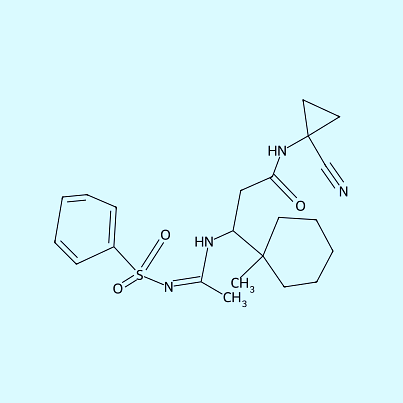 CC(=NS(=O)(=O)c1ccccc1)NC(CC(=O)NC1(C#N)CC1)C1(C)CCCCC1